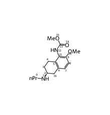 CCCN[C@H]1CCc2c(ccc(OC)c2NC(=O)OC)C1